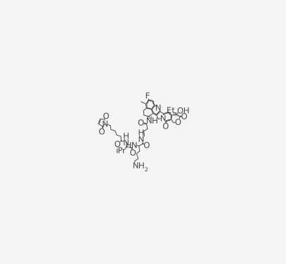 CC[C@@]1(O)C(=O)OCc2c1cc1n(c2=O)Cc2c-1nc1cc(F)c(C)c3c1c2[C@@H](NC(=O)CCCNC(=O)C(CCCCN)NC(=O)C(NC(=O)CCCCCN1C(=O)C=CC1=O)C(C)C)CC3